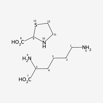 NCCCCC(N)C(=O)O.O=C(O)C1NCCS1